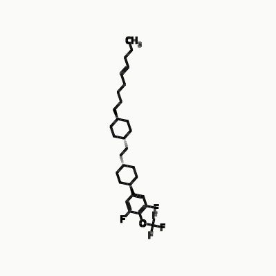 CCC/C=C/CCCC[C@H]1CC[C@H](CC[C@H]2CC[C@H](c3cc(F)c(OC(F)(F)F)c(F)c3)CC2)CC1